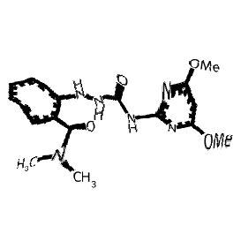 COc1cc(OC)nc(NC(=O)NNc2ccccc2C(=O)N(C)C)n1